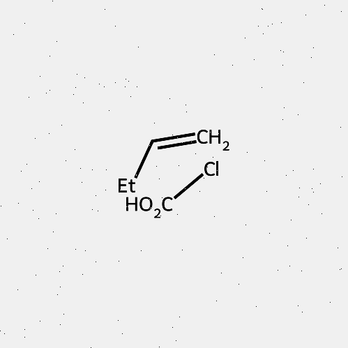 C=CCC.O=C(O)Cl